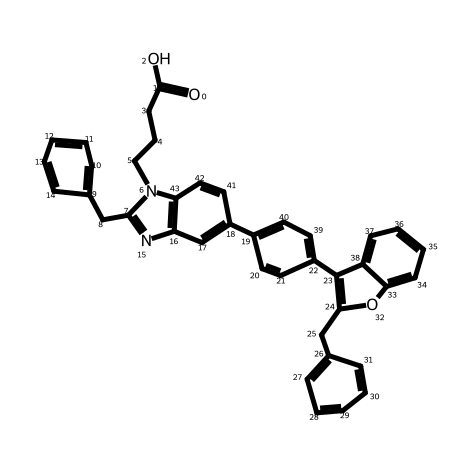 O=C(O)CCCn1c(Cc2ccccc2)nc2cc(-c3ccc(-c4c(Cc5ccccc5)oc5ccccc45)cc3)ccc21